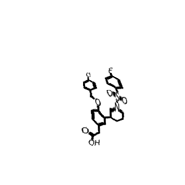 O=C(O)Cc1ccc(OCc2ccc(Cl)cc2)c(C2CCCN(S(=O)(=O)c3ccc(F)cc3)C2)c1